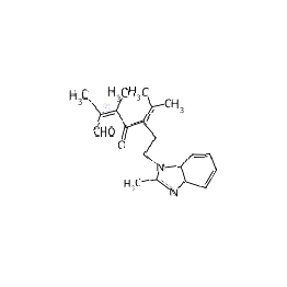 CC1=NC2C=CC=CC2N1CCC(C(=O)/C(C)=C(/C)C=O)=C(C)C